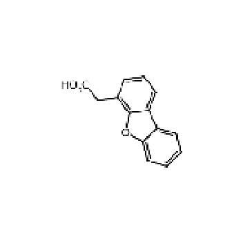 O=C(O)Cc1cccc2c1oc1ccccc12